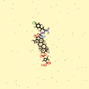 CC(C)C1=C2[C@H]3CC[C@@H]4[C@@]5(C)CC[C@H](OC(=O)[C@H]6C[C@@H](C(=O)O)C6(C)C)C(C)(C)[C@@H]5CC[C@@]4(C)[C@]3(C)CC[C@@]2(NC(=O)N(CCN(C)C)CC2(c3ccc(Cl)cc3)CC2)CC1=O